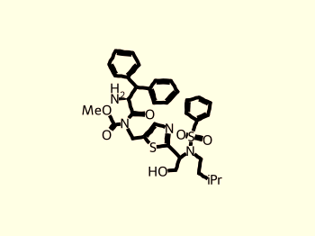 COC(=O)N(Cc1cnc(C(CO)N(CCC(C)C)S(=O)(=O)c2ccccc2)s1)C(=O)[C@@H](N)C(c1ccccc1)c1ccccc1